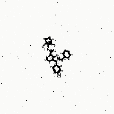 CC1=C(NC(=O)C2CCCc3c2nn(Cc2ccccc2)c3-c2ccc(Cl)cc2)C2(C)CCC1C2